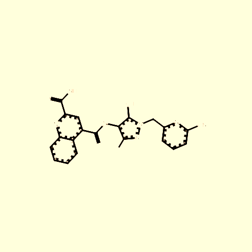 Cc1nn(Cc2cccc(C#N)n2)c(C)c1NC(=O)c1cc(C(N)=O)nc2ccccc12